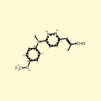 C/C(C=O)=C\c1ccc(N(C)c2ccc(OC(F)(F)F)cc2)nn1